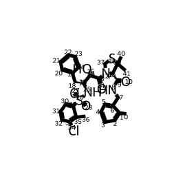 Cc1ccccc1CNC(=O)[C@H]1N(C(=O)[C@@H](O)[C@H](Cc2ccccc2)NS(=O)(=O)c2cccc(Cl)c2C)CSC1(C)C